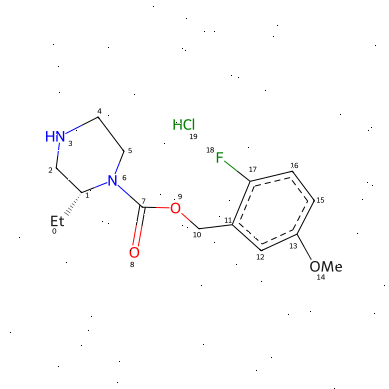 CC[C@@H]1CNCCN1C(=O)OCc1cc(OC)ccc1F.Cl